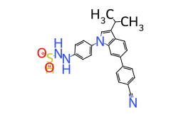 CC(C)c1cn(-c2ccc(NN[SH](=O)=O)cc2)c2cc(-c3ccc(C#N)cc3)ccc12